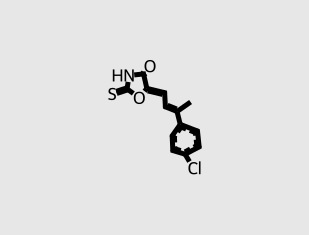 CC(=CC=C1OC(=S)NC1=O)c1ccc(Cl)cc1